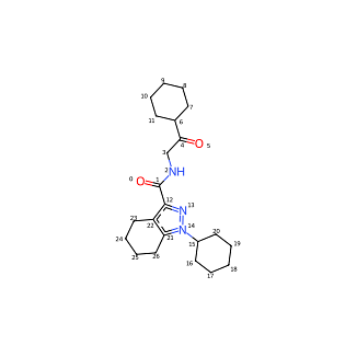 O=C(NCC(=O)C1CCCCC1)c1nn(C2CCCCC2)c2c1CCCC2